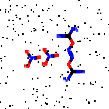 N=C(N)ON=NOC(=N)N.O=[N+]([O-])O.O=[N+]([O-])O